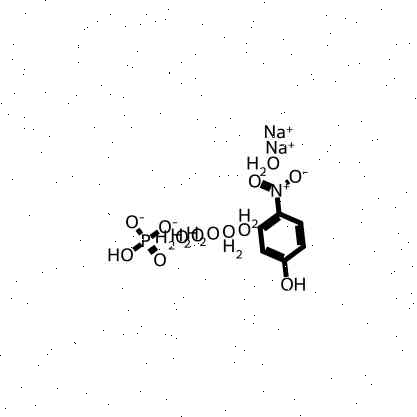 O.O.O.O.O.O.O=P([O-])([O-])O.O=[N+]([O-])c1ccc(O)cc1.[Na+].[Na+]